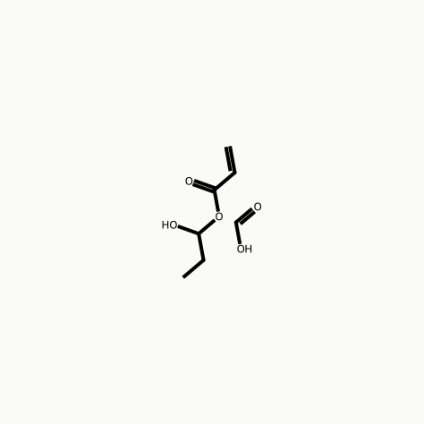 C=CC(=O)OC(O)CC.O=CO